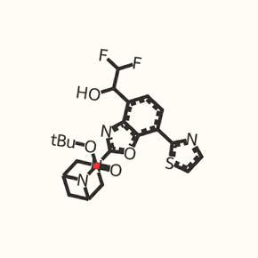 CC(C)(C)OC(=O)N1C2CC1CN(c1nc3c(C(O)C(F)F)ccc(-c4nccs4)c3o1)C2